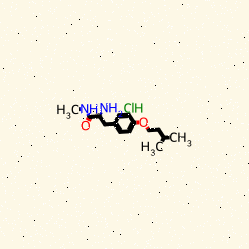 CNC(=O)[C@@H](N)Cc1ccc(OCCC(C)C)cc1.Cl